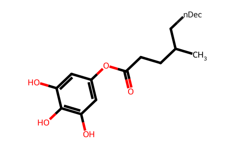 CCCCCCCCCCCC(C)CCC(=O)Oc1cc(O)c(O)c(O)c1